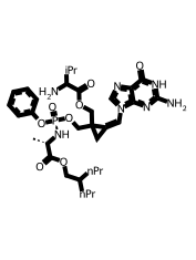 CCCC(CCC)COC(=O)[C@H](C)N[P@](=O)(OCC1(COC(=O)C(N)C(C)C)C/C1=C/n1cnc2c(=O)[nH]c(N)nc21)Oc1ccccc1